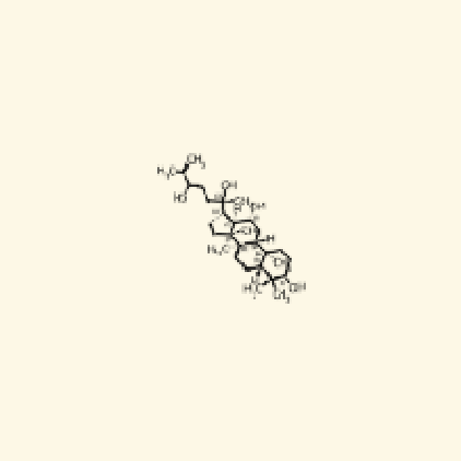 C=C(C)C(O)CC[C@](C)(O)[C@H]1CC[C@]2(C)[C@@H]1[C@H](O)C[C@@H]1[C@@]3(C)CC[C@@H](O)C(C)(C)[C@@H]3CC[C@]12C